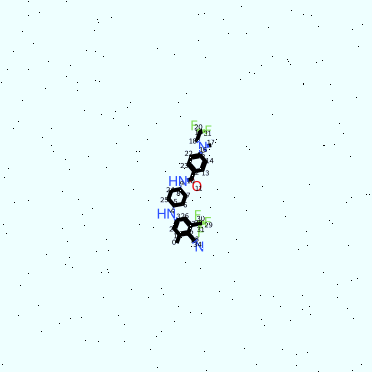 Cc1cc(N[C@H]2CC[C@@H](NC(=O)c3ccc(N(C)CC(F)F)cc3)CC2)cc(C(F)(F)F)c1C#N